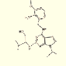 COc1cccc(CNc2nc(NC(CO)C(C)C)nc3c2ncn3C(C)C)c1N